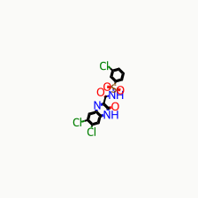 O=C(NS(=O)(=O)c1cccc(Cl)c1)c1nc2cc(Cl)c(Cl)cc2[nH]c1=O